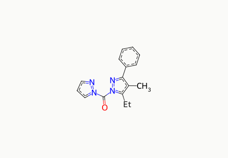 CCc1c(C)c(-c2ccccc2)nn1C(=O)n1cccn1